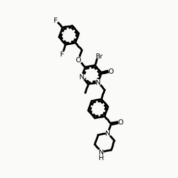 Cc1nc(OCc2ccc(F)cc2F)c(Br)c(=O)n1Cc1cccc(C(=O)N2CCNCC2)c1